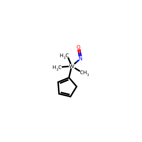 [CH3][W]([CH3])([CH3])([N]=O)[C]1=CC=CC1